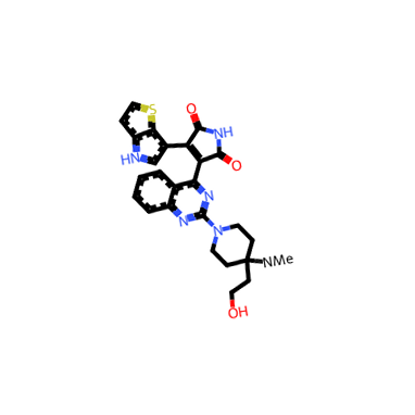 CNC1(CCO)CCN(c2nc(C3=C(c4c[nH]c5ccsc45)C(=O)NC3=O)c3ccccc3n2)CC1